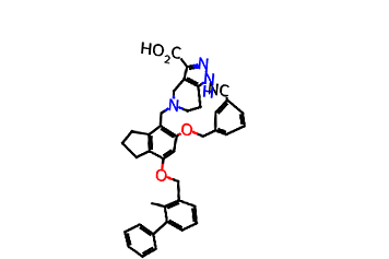 Cc1c(COc2cc(OCc3cccc(C#N)c3)c(CN3CCc4[nH]nc(C(=O)O)c4C3)c3c2CCC3)cccc1-c1ccccc1